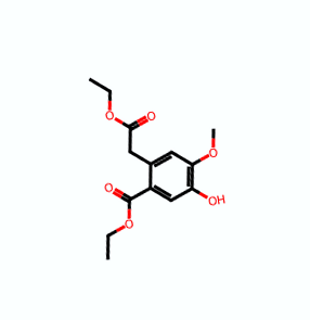 CCOC(=O)Cc1cc(OC)c(O)cc1C(=O)OCC